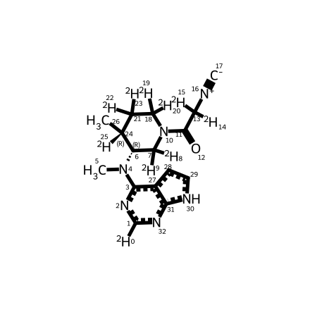 [2H]c1nc(N(C)[C@H]2C([2H])([2H])N(C(=O)C([2H])([2H])[N+]#[C-])C([2H])([2H])C([2H])([2H])[C@@]2([2H])C)c2cc[nH]c2n1